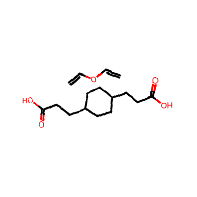 C=COC=C.O=C(O)CCC1CCC(CCC(=O)O)CC1